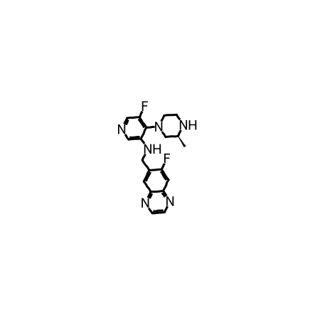 C[C@H]1CN(c2c(F)cncc2NCc2cc3nccnc3cc2F)CCN1